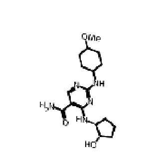 COC1CCC(Nc2ncc(C(N)=O)c(N[C@H]3CCC[C@H]3O)n2)CC1